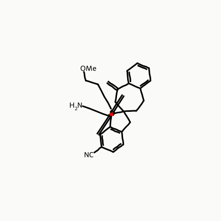 C=C1CC2(CCc3ccccc31)Cc1ccc(C#N)cc1C21N=C(N)N(CCOC)C1=C